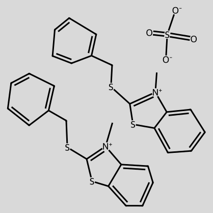 C[n+]1c(SCc2ccccc2)sc2ccccc21.C[n+]1c(SCc2ccccc2)sc2ccccc21.O=S(=O)([O-])[O-]